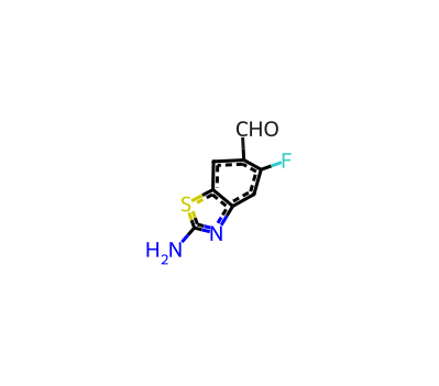 Nc1nc2cc(F)c(C=O)cc2s1